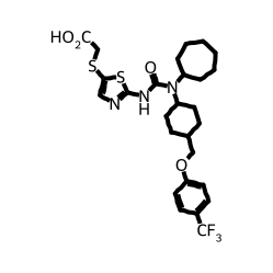 O=C(O)CSc1cnc(NC(=O)N(C2CCCCCC2)C2CCC(COc3ccc(C(F)(F)F)cc3)CC2)s1